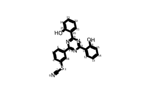 N#CSc1cccc(-c2nc(-c3ccccc3O)nc(-c3ccccc3O)n2)c1